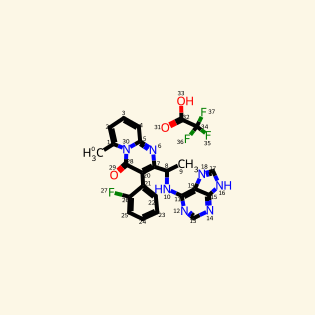 Cc1cccc2nc(C(C)Nc3ncnc4[nH]cnc34)c(-c3ccccc3F)c(=O)n12.O=C(O)C(F)(F)F